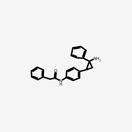 NC1(c2ccccc2)CC1c1ccc(NC(=O)Cc2ccccc2)cc1